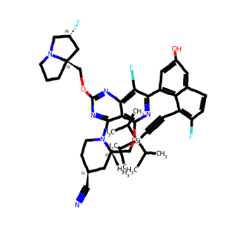 CC(C)[Si](C#Cc1c(F)ccc2cc(O)cc(-c3nc4c5c(nc(OC[C@@]67CCCN6C[C@H](F)C7)nc5c3F)N3CC[C@H](C#N)C[C@H]3CO4)c12)(C(C)C)C(C)C